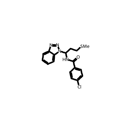 CSCCC(NC(=O)c1ccc(Cl)cc1)n1nnc2ccccc21